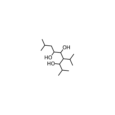 CC(C)CC(O)C(O)C(C(C)C)C(O)C(C)C